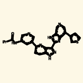 CC(C)C(=O)Nc1cncc(-c2ccc3[nH]nc(-c4nc5c(-c6ccsc6)cncc5[nH]4)c3n2)c1